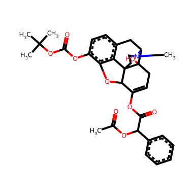 CC(=O)OC(C(=O)OC1=CCC2(O)C3Cc4ccc(OC(=O)OC(C)(C)C)c5c4C2(CCN3C)C1O5)c1ccccc1